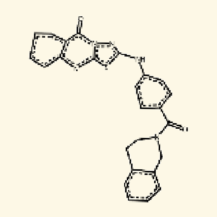 O=C(c1ccc(Nc2nn3c(=O)c4ccccc4nc3s2)cc1)N1CCc2ccccc2C1